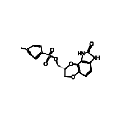 Cc1ccc(S(=O)(=O)OC[C@H]2COc3ccc4[nH]c(=O)[nH]c4c3O2)cc1